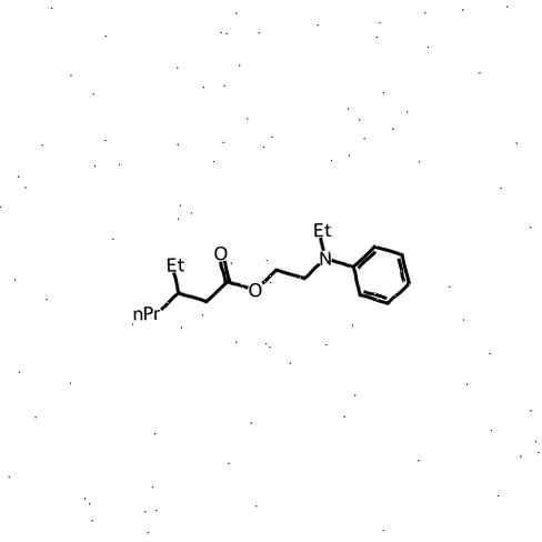 CCCC(CC)CC(=O)OCCN(CC)c1ccccc1